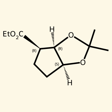 CCOC(=O)[C@@H]1CC[C@@H]2OC(C)(C)O[C@@H]21